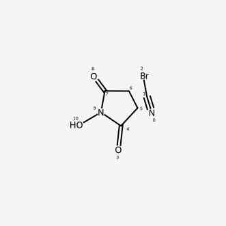 N#CBr.O=C1CCC(=O)N1O